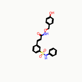 O=C(/C=C/c1cccc(S(=O)(=O)Nc2ccccc2)c1)NOCc1ccc(O)cc1